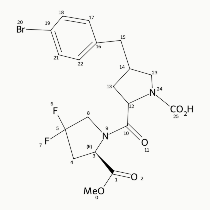 COC(=O)[C@H]1CC(F)(F)CN1C(=O)C1CC(Cc2ccc(Br)cc2)CN1C(=O)O